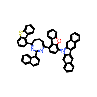 C1=C(c2ccc(-n3c4cc5ccccc5cc4c4cc5ccccc5cc43)c3oc4ccccc4c23)/N=C(c2cccc3ccccc23)\N=C(\c2cccc3sc4ccccc4c23)CC\1